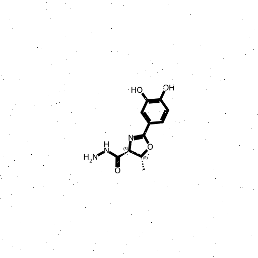 C[C@H]1OC(c2ccc(O)c(O)c2)=N[C@@H]1C(=O)NN